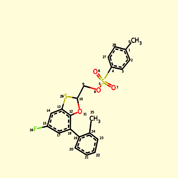 Cc1ccc(S(=O)(=O)OCC2Oc3c(cc(F)cc3-c3ccccc3C)S2)cc1